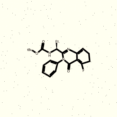 CC[C@H](NC(=O)OC(C)(C)C)c1nc2c(c(=O)n1-c1ccccc1)=C(F)CCC=2